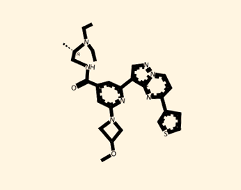 CCN(CC)[C@@H](C)CNC(=O)c1cc(-c2cnn3ccc(-c4ccsc4)nc23)nc(N2CC(OC)C2)c1